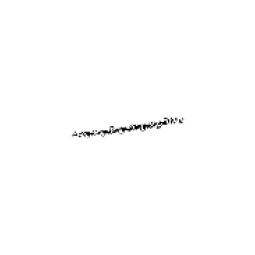 COCCOCCOCCOCCOCCOCCOCCOCCOCCOCC(C)=O